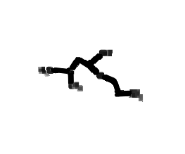 CN(C)CC(O)OCCN